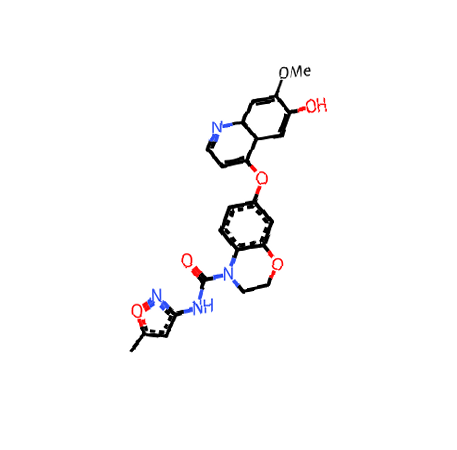 COC1=CC2N=CC=C(Oc3ccc4c(c3)OCCN4C(=O)Nc3cc(C)on3)C2C=C1O